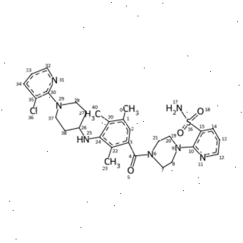 Cc1cc(C(=O)N2CCN(c3ncccc3S(N)(=O)=O)CC2)c(C)c(NC2CCN(c3ncccc3Cl)CC2)c1C